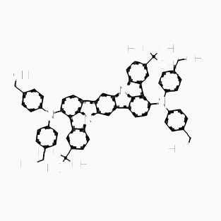 CCc1ccc(N(c2ccc(CC)cc2)c2ccc3c4cc5c(cc4n4c6ccc(C(C)(C)C)cc6c2c34)c2ccc(N(c3ccc(CC)cc3)c3ccc(CC)cc3)c3c4cc(C(C)(C)C)ccc4n5c23)cc1